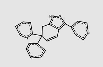 C1=CC(c2ccccc2)(c2ccccn2)Cc2[nH]nc(-c3ccncc3)c21